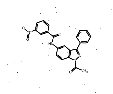 CC(=O)n1nc(-c2ccccc2)c2cc(NC(=O)c3cccc([N+](=O)[O-])c3)ccc21